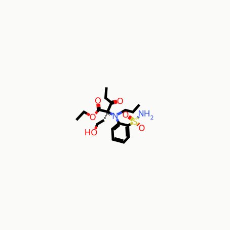 CCCN(c1ccccc1S(N)(=O)=O)[C@](CCO)(C(=O)CC)C(=O)OCC